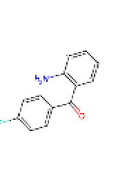 Nc1[c]cccc1C(=O)c1ccc(F)cc1